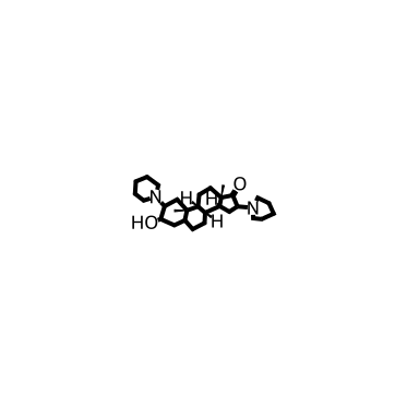 C[C@]12CC(N3CCCCC3)C(O)CC1CC[C@@H]1[C@H]2CC[C@]2(C)C(=O)C(N3CCCCC3)C[C@@H]12